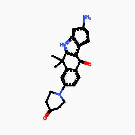 CC1(C)c2cc(N3CCC(=O)CC3)ccc2C(=O)c2c1[nH]c1cc(N)ccc21